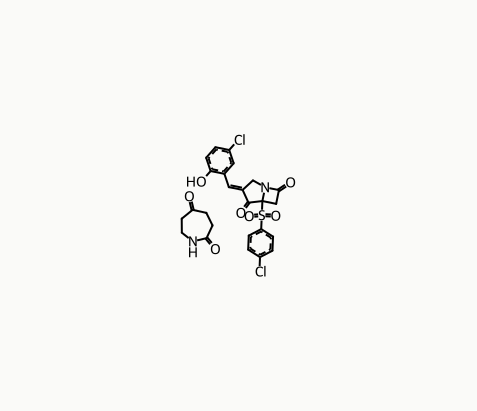 O=C1CC2(S(=O)(=O)c3ccc(Cl)cc3)C(=O)C(=Cc3cc(Cl)ccc3O)CN12.O=C1CCNC(=O)CC1